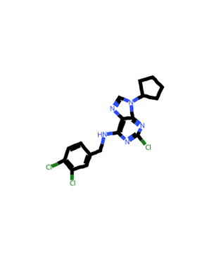 Clc1nc(NCc2ccc(Cl)c(Cl)c2)c2ncn(C3CCCC3)c2n1